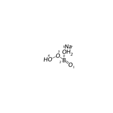 O.O=BOO.[Na]